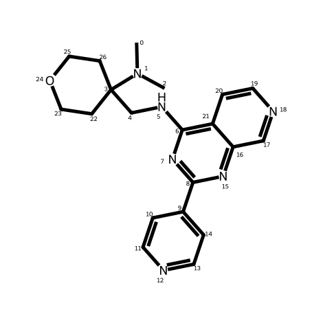 CN(C)C1(CNc2nc(-c3ccncc3)nc3cnccc23)CCOCC1